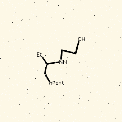 CCCCCCC(CC)NCCO